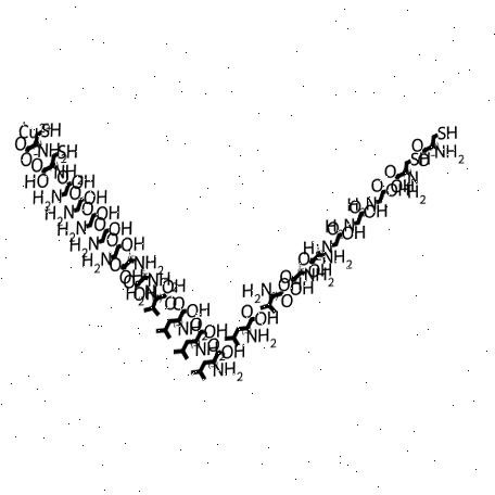 CC(C)C[C@H](N)C(=O)O.CC(C)C[C@H](N)C(=O)O.CC(C)C[C@H](N)C(=O)O.CC(C)C[C@H](N)C(=O)O.CC(C)[C@H](N)C(=O)O.CC(C)[C@H](N)C(=O)O.C[C@H](N)C(=O)O.C[C@H](N)C(=O)O.C[C@H](N)C(=O)O.C[C@H](N)C(=O)O.NCC(=O)O.NCC(=O)O.NCC(=O)O.NCC(=O)O.NCC(=O)O.NCC(=O)O.NCC(=O)O.NCC(=O)O.N[C@@H](CS)C(=O)O.N[C@@H](CS)C(=O)O.N[C@@H](CS)C(=O)[O-].N[C@@H](CS)C(=O)[O-].[Cu+2]